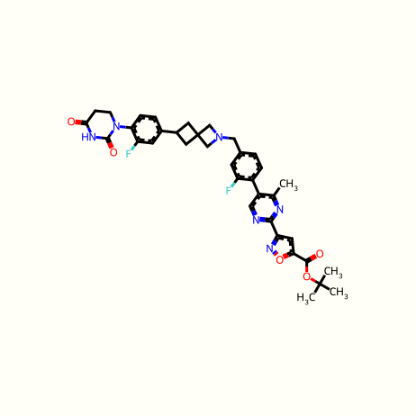 Cc1nc(-c2cc(C(=O)OC(C)(C)C)on2)ncc1-c1ccc(CN2CC3(CC(c4ccc(N5CCC(=O)NC5=O)c(F)c4)C3)C2)cc1F